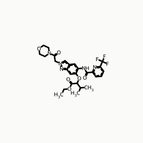 CCOC(=O)C(Oc1cc2nn(CC(=O)N3CCOCC3)cc2cc1NC(=O)c1cccc(C(F)(F)F)n1)C(C)C